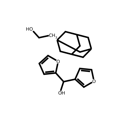 C1C2CC3CC1CC(C2)C3.CCO.OC(c1ccoc1)c1ccco1